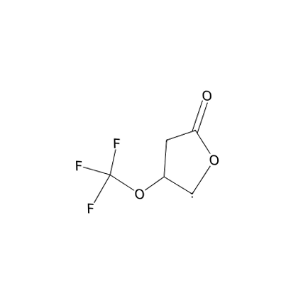 O=C1CC(OC(F)(F)F)[CH]O1